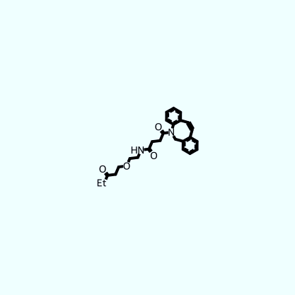 CCC(=O)CCOCCNC(=O)CCC(=O)N1Cc2ccccc2C#Cc2ccccc21